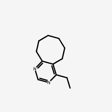 CCc1ncnc2c1CCCCCC2